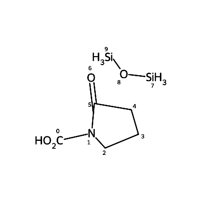 O=C(O)N1CCCC1=O.[SiH3]O[SiH3]